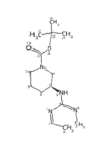 C/C=N\C(=N/C)N[C@H]1CCCN(C(=O)OC(C)(C)C)C1